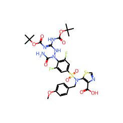 COc1ccc(CN(c2scnc2C(=O)O)S(=O)(=O)c2cc(F)c(N(NC(=NC(=O)OC(C)(C)C)NC(=O)OC(C)(C)C)C(N)=O)c(F)c2)cc1